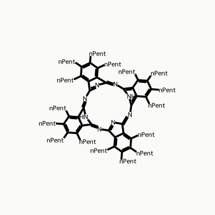 CCCCCc1c(CCCCC)c(CCCCC)c2c(c1CCCCC)-c1nc-2nc2[nH]c(nc3nc(nc4[nH]c(n1)c1c(CCCCC)c(CCCCC)c(CCCCC)c(CCCCC)c41)-c1c(CCCCC)c(CCCCC)c(CCCCC)c(CCCCC)c1-3)c1c(CCCCC)c(CCCCC)c(CCCCC)c(CCCCC)c21